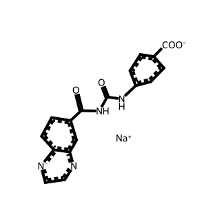 O=C(NC(=O)c1ccc2nccnc2c1)Nc1ccc(C(=O)[O-])cc1.[Na+]